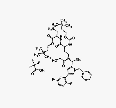 CC(C)(C)C(c1cc(-c2cc(F)ccc2F)cn1Cc1ccccc1)N(CCC(NC(=O)OCC[Si](C)(C)C)C(=O)NC(CN)C(=O)OCC[Si](C)(C)C)C(=O)CO.O=C(O)C(F)(F)F